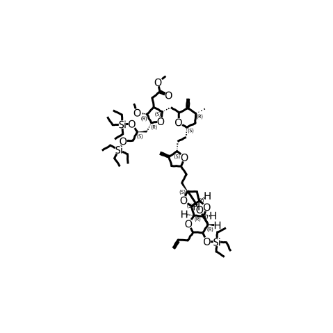 C=CCC1O[C@H]2[C@H]3O[C@]4(CCC5CC(=C)[C@H](CC[C@H]6C[C@@H](C)C(=C)C(C[C@@H]7O[C@H](C[C@@H](CO[Si](CC)(CC)CC)O[Si](CC)(CC)CC)[C@H](OC)C7CC(=O)OC)O6)O5)C[C@H]3O[C@H]2[C@@H](O4)C1O[Si](CC)(CC)CC